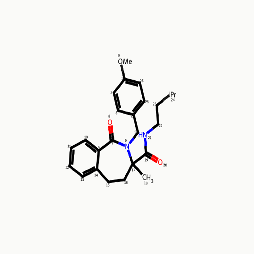 COc1ccc(CN2C(=O)c3ccccc3CCC2(C)C(=O)NCCC(C)C)cc1